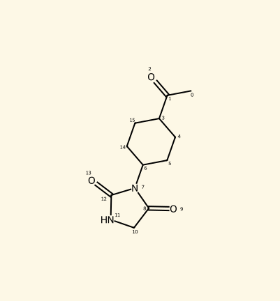 CC(=O)C1CCC(N2C(=O)CNC2=O)CC1